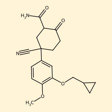 COc1ccc(C2(C#N)CCC(=O)C(C(N)=O)C2)cc1OCC1CC1